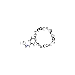 O/N=C\c1ccc2c(c1)OCCOCCOCCOCCOCCO2